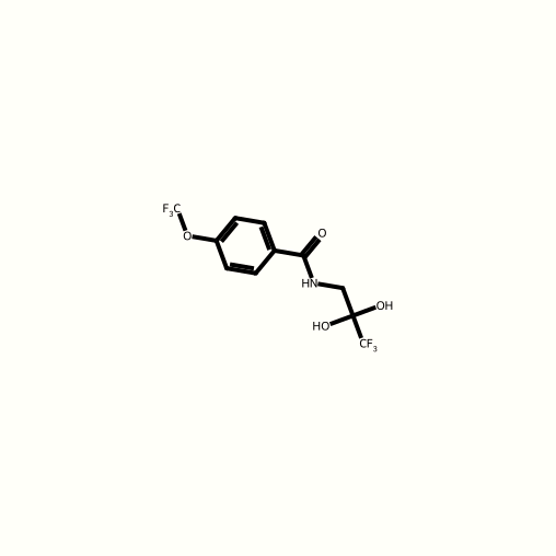 O=C(NCC(O)(O)C(F)(F)F)c1ccc(OC(F)(F)F)cc1